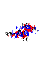 CC[C@H](C)[C@H](NC(=O)CNC(=O)[C@H](CCC(N)=O)NC(=O)[C@@H]1CCCN1C(=O)CNC(=O)[C@H](CC(=O)O)NC(=O)[C@@H](NC(=O)[C@H](Cc1c[nH]cn1)NC(=O)[C@H](C)NC(=O)[C@H](CC(=O)O)NC(=O)CNC(=O)[C@H](CCCCN)NC(=O)[C@@H](NC(=O)[C@H](C)NC(=O)[C@H](CCCCN)NC(=O)CNC(=O)[C@H](CC(N)=O)NC(=O)[C@@H](N)C(C)C)[C@@H](C)O)[C@@H](C)CC)C(=O)O